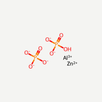 O=P([O-])([O-])O.O=P([O-])([O-])[O-].[Al+3].[Zn+2]